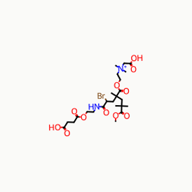 COC(=O)C(C)(C)CC(C)(CC(Br)C(=O)NCCOC(=O)CCC(=O)O)C(=O)OCC[N+](C)(C)CC(=O)O